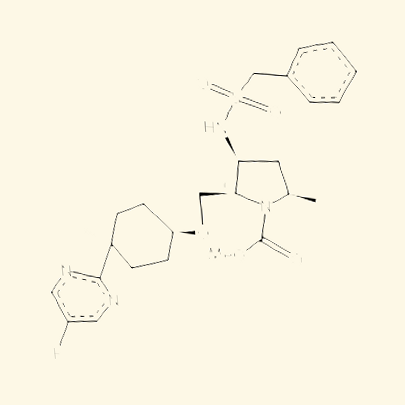 COC(=O)N1[C@H](C)C[C@H](NS(=O)(=O)Cc2ccccc2)[C@@H]1CO[C@H]1CC[C@@](C)(c2ncc(F)cn2)CC1